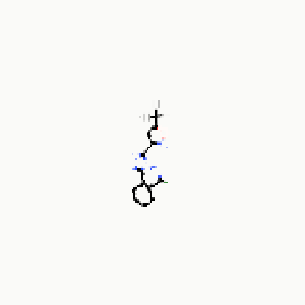 [2H]C([2H])([2H])c1cc(-c2nnc3c4ccccc4c(Cl)nn23)no1